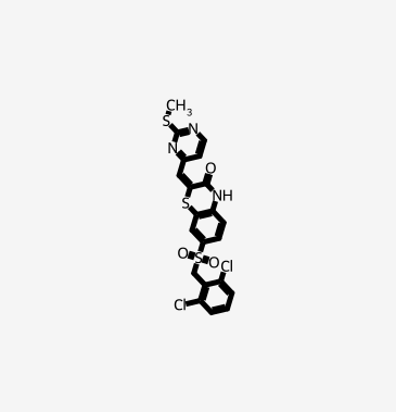 CSc1nccc(/C=C2/Sc3cc(S(=O)(=O)Cc4c(Cl)cccc4Cl)ccc3NC2=O)n1